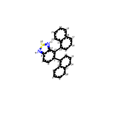 c1ccc2c(-c3ccc4nsnc4c3-c3cccc4ccccc34)cccc2c1